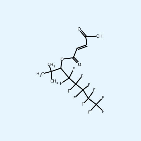 CC(C)(C)C(OC(=O)/C=C/C(=O)O)C(F)(F)C(F)(F)C(F)(F)C(F)(F)C(F)(F)F